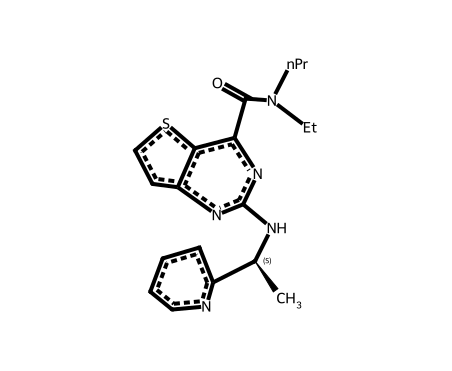 CCCN(CC)C(=O)c1nc(N[C@@H](C)c2ccccn2)nc2ccsc12